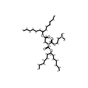 CCCCCCC(CCCCCC)OC(=O)CN(C(=O)OC(CCCCCC)CCCCCC)C(=O)SCCN(C)C